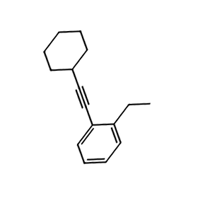 CCc1ccccc1C#CC1CCCCC1